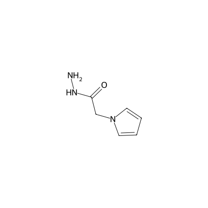 NNC(=O)Cn1cccc1